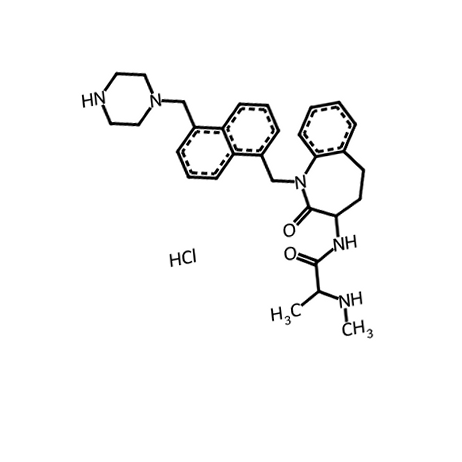 CNC(C)C(=O)NC1CCc2ccccc2N(Cc2cccc3c(CN4CCNCC4)cccc23)C1=O.Cl